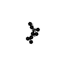 c1ccc(-c2nc(-c3ccc4c(c3)sc3ccccc34)nc(-c3ccc(-c4ccc5c(c4)c4ccccc4n5-c4ccccc4)c4oc5ccccc5c34)n2)cc1